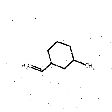 C=CC1CCCC(C)C1